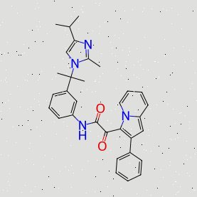 Cc1nc(C(C)C)cn1C(C)(C)c1cccc(NC(=O)C(=O)c2c(-c3ccccc3)cc3ccccn23)c1